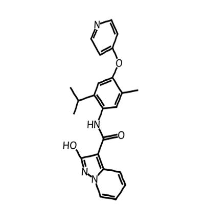 Cc1cc(NC(=O)c2c(O)nn3ccccc23)c(C(C)C)cc1Oc1ccncc1